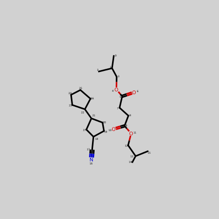 CC(C)COC(=O)CCC(=O)OCC(C)C.N#CC1CCC(C2CCCC2)C1